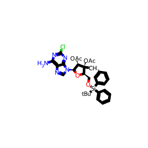 CC(=O)O[C@H]1[C@H](n2cnc3c(N)nc(Cl)nc32)O[C@H](CO[Si](c2ccccc2)(c2ccccc2)C(C)(C)C)[C@@]1(C)OC(C)=O